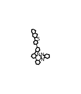 c1ccc2c(c1)-c1nc3ccccc3nc1-n1c3ccc(-c4ccc5c(c4)sc4cc6ccccc6cc45)cc3c3cccc-2c31